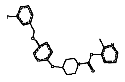 Cc1ncccc1OC(=O)N1CCC(Oc2ccc(OCc3cccc(F)c3)cc2)CC1